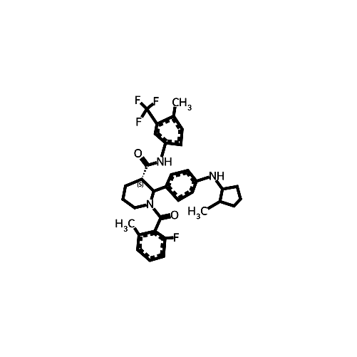 Cc1ccc(NC(=O)[C@H]2CCCN(C(=O)c3c(C)cccc3F)C2c2ccc(NC3CCCC3C)cc2)cc1C(F)(F)F